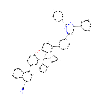 N#Cc1ccc(-c2ccc3c(c2)C2(c4cc(-c5cccc(-c6cc(-c7ccccc7)nc(-c7ccccc7)n6)c5)ccc4O3)c3ccccc3-c3ccccc32)c2ccccc12